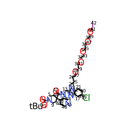 CC(C)(C)OC(=O)N1CCC2(CC1)C(=O)N(Cc1nc3cc(Cl)ccc3n1CCCCOCCOCCOCCOCCOCI)c1cnccc12